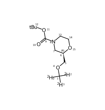 [2H]C([2H])([2H])OC[C@H]1CN(C(=O)OC(C)(C)C)CCO1